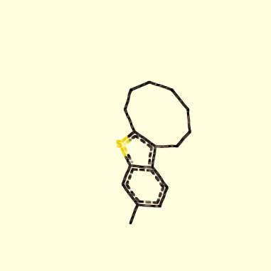 Cc1ccc2c3c(sc2c1)CCCCCCC3